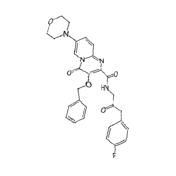 O=C(CNC(=O)c1nc2ccc(N3CCOCC3)cn2c(=O)c1OCc1ccccc1)Cc1ccc(F)cc1